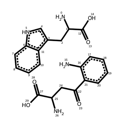 NC(Cc1c[nH]c2ccccc12)C(=O)O.Nc1ccccc1C(=O)CC(N)C(=O)O